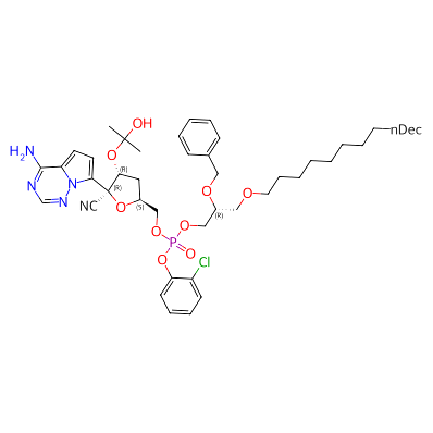 CCCCCCCCCCCCCCCCCCOC[C@H](COP(=O)(OC[C@@H]1C[C@@H](OC(C)(C)O)[C@](C#N)(c2ccc3c(N)ncnn23)O1)Oc1ccccc1Cl)OCc1ccccc1